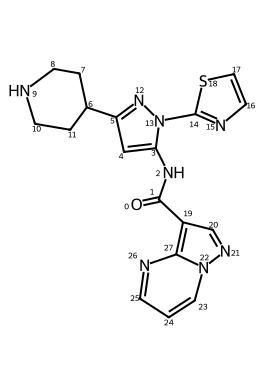 O=C(Nc1cc(C2CCNCC2)nn1-c1nccs1)c1cnn2cccnc12